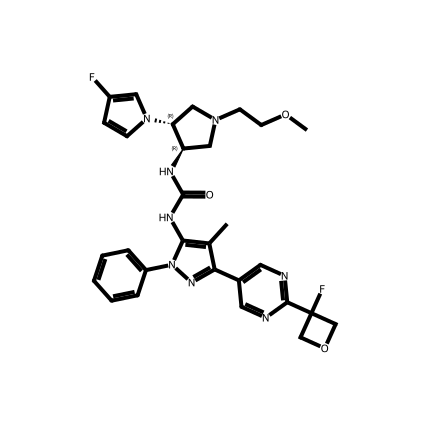 COCCN1C[C@@H](n2ccc(F)c2)[C@H](NC(=O)Nc2c(C)c(-c3cnc(C4(F)COC4)nc3)nn2-c2ccccc2)C1